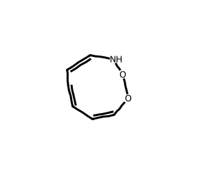 C1=C\C=C/OON\C=C/1